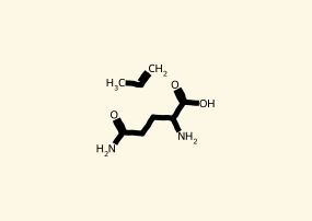 C=CC.NC(=O)CCC(N)C(=O)O